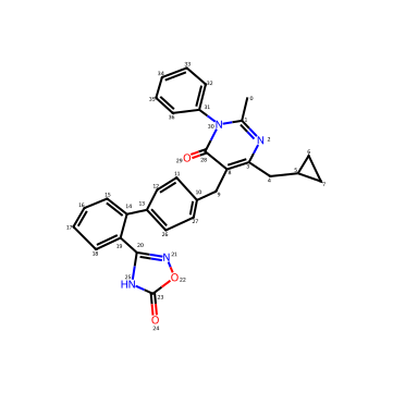 Cc1nc(CC2CC2)c(Cc2ccc(-c3ccccc3-c3noc(=O)[nH]3)cc2)c(=O)n1-c1ccccc1